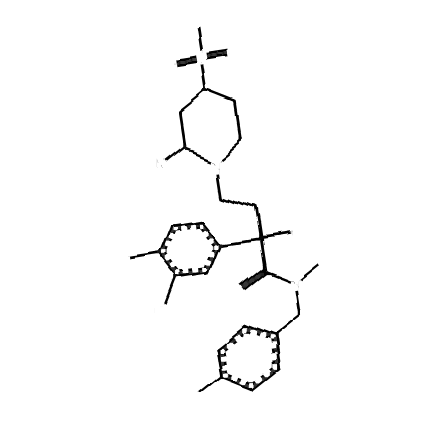 CN(Cc1ccc(C(F)(F)F)cc1)C(=O)C(F)(CCN1CCC(S(C)(=O)=O)CC1N)c1ccc(Cl)c(Cl)c1